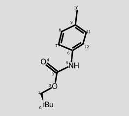 CC[C@H](C)COC(=O)Nc1ccc(C)cc1